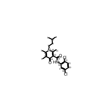 Cc1c(C)n(CCC(C)C)c(C)c(C(=O)Nc2cc(Cl)ccc2Cl)c1=O